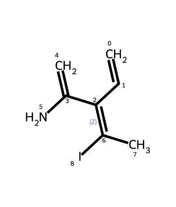 C=C/C(C(=C)N)=C(\C)I